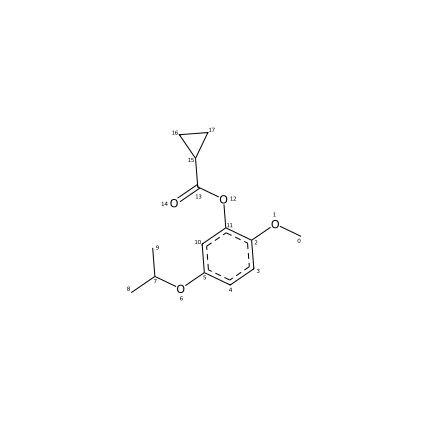 COc1ccc(OC(C)C)cc1OC(=O)C1CC1